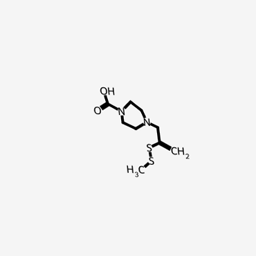 C=C(CN1CCN(C(=O)O)CC1)SSC